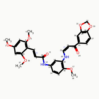 COc1cc(OC)c(/C=C/C(=O)Nc2ccc(OC)c(N/C=C\C(=O)c3ccc4c(c3)OCO4)c2)c(OC)c1